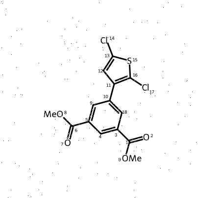 COC(=O)c1cc(C(=O)OC)cc(-c2cc(Cl)sc2Cl)c1